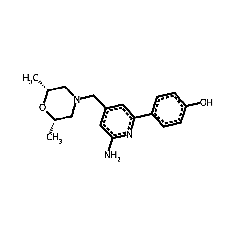 C[C@@H]1CN(Cc2cc(N)nc(-c3ccc(O)cc3)c2)C[C@H](C)O1